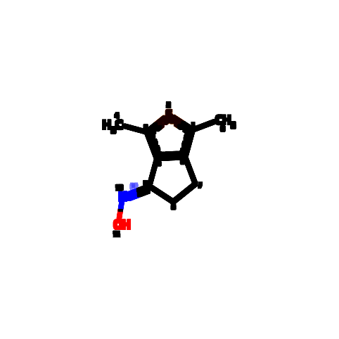 Cc1sc(C)c2c1CC/C2=N\O